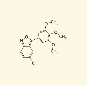 COc1cc(-c2onc3ccc(Cl)cc23)cc(OC)c1OC